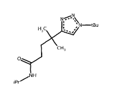 CC(C)NC(=O)CCC(C)(C)c1cn(C(C)(C)C)nn1